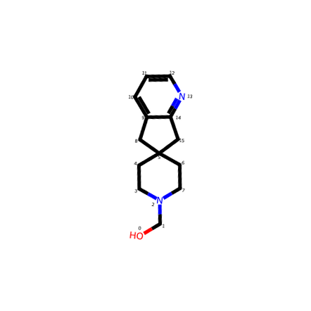 OCN1CCC2(CC1)Cc1cccnc1C2